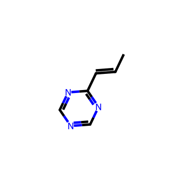 C/C=C/c1ncncn1